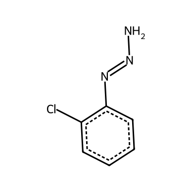 N/N=N/c1ccccc1Cl